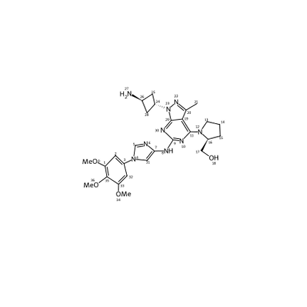 COc1cc(-n2cnc(Nc3nc(N4CCC[C@H]4CO)c4c(C)nn([C@H]5C[C@H](N)C5)c4n3)c2)cc(OC)c1OC